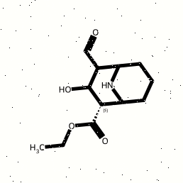 CCOC(=O)[C@H]1C2CCCC(N2)C(C=O)C1O